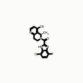 C[C@H]1c2c(C#N)ccnc2CCN1C(=O)c1nc2c(F)ccc(Cl)c2[nH]1